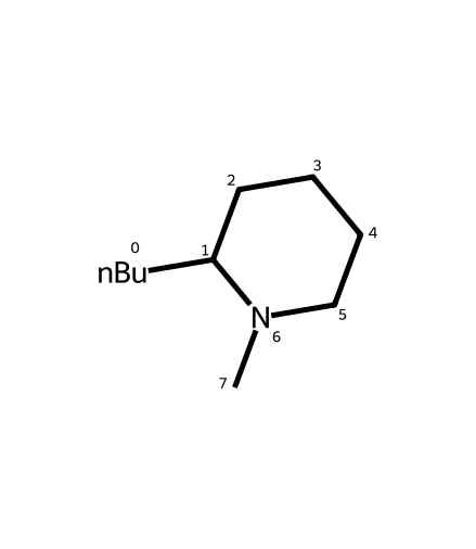 CCCCC1CCCCN1C